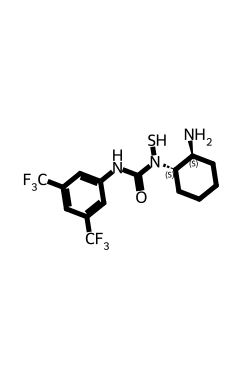 N[C@H]1CCCC[C@@H]1N(S)C(=O)Nc1cc(C(F)(F)F)cc(C(F)(F)F)c1